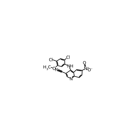 COc1cc(Nc2c(C#N)cnc3ccc([N+](=O)[O-])cc23)c(Cl)cc1Cl